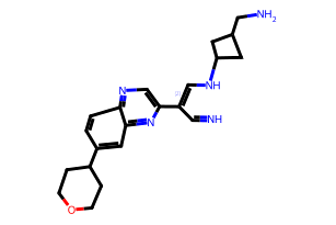 N=C/C(=C\NC1CC(CN)C1)c1cnc2ccc(C3CCOCC3)cc2n1